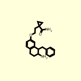 NC(=O)C1(CCOc2ccc3c(c2)C(Cc2ccccc2)C(N)CC3)CC1